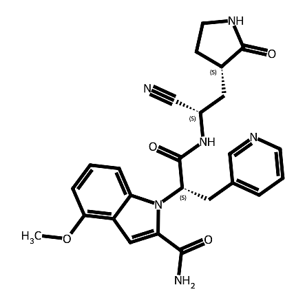 COc1cccc2c1cc(C(N)=O)n2[C@@H](Cc1cccnc1)C(=O)N[C@H](C#N)C[C@@H]1CCNC1=O